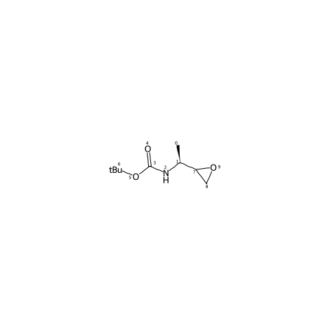 C[C@H](NC(=O)OC(C)(C)C)C1CO1